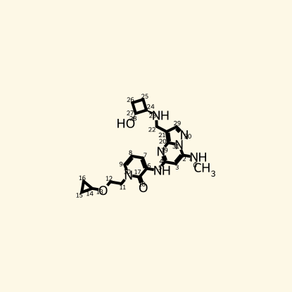 CNc1cc(Nc2cccn(CCOC3CC3)c2=O)nc2c(CN[C@@H]3CC[C@H]3O)cnn12